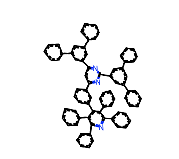 c1ccc(-c2cc(-c3ccccc3)cc(-c3cc(-c4cccc(-c5c(-c6ccccc6)c(-c6ccccc6)nc(-c6ccccc6)c5-c5ccccc5)c4)nc(-c4cc(-c5ccccc5)cc(-c5ccccc5)c4)n3)c2)cc1